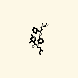 CCC(C)CCN(C(=O)c1cnc(C)cc1C)c1cccc(COC(CCN(C)C=O)c2ccccc2)c1